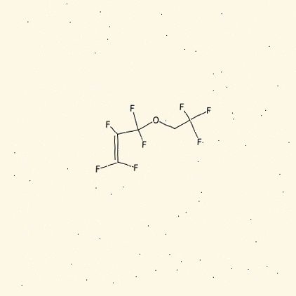 FC(F)=C(F)C(F)(F)OCC(F)(F)F